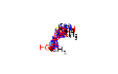 CCc1cccc2cc(O)cc(-c3ncc4c(N5CCCCCC5)nc(OC[C@]56CCCN5[C@@H](COC(=O)N5CCN(c7cc([C@@H](C(=O)N8C[C@H](O)C[C@H]8C(=O)N[C@@H](C)c8ccc(-c9scnc9C)cc8)C(C)C)on7)CC5)CC6)nc4c3F)c12